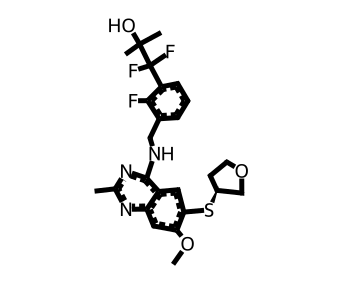 COc1cc2nc(C)nc(NCc3cccc(C(F)(F)C(C)(C)O)c3F)c2cc1S[C@H]1CCOC1